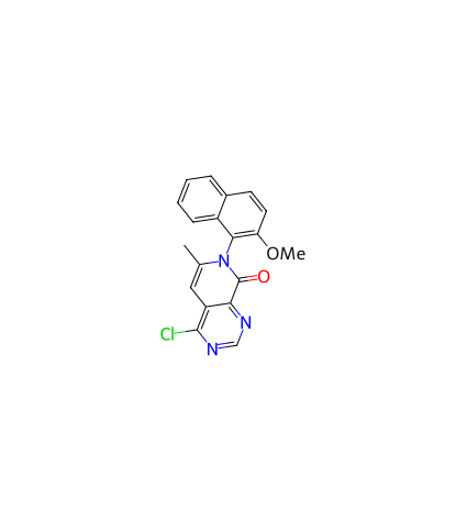 COc1ccc2ccccc2c1-n1c(C)cc2c(Cl)ncnc2c1=O